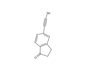 O=C1CCc2cc(C#CS)ccc21